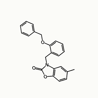 Cc1ccc2oc(=O)n(Cc3ccccc3OCc3ccccc3)c2c1